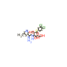 Cc1cncc(/C(N)=C/NC2C(O)C(CO)OC(Sc3ccc(Cl)c(Cl)c3)C2O)c1